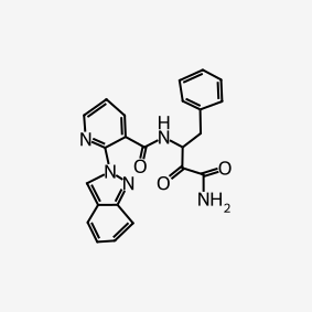 NC(=O)C(=O)C(Cc1ccccc1)NC(=O)c1cccnc1-n1cc2ccccc2n1